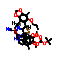 CCCOc1c(C)c2c(c3c1[C@H]1SC[C@]4(NCCc5cc(OC(=O)OC(C)(C)C)c(OC)cc54)C(=O)OC[C@@H]3N3C1[C@H]1c4c(cc(C)c(OC)c4O)C4C([C@@H]3C#N)N41)OCO2